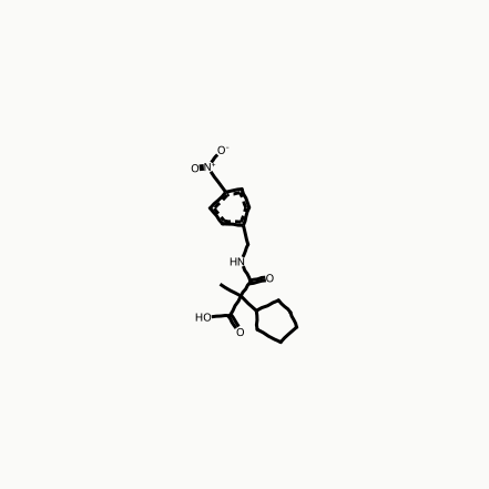 CC(C(=O)O)(C(=O)NCc1ccc([N+](=O)[O-])cc1)C1CCCCC1